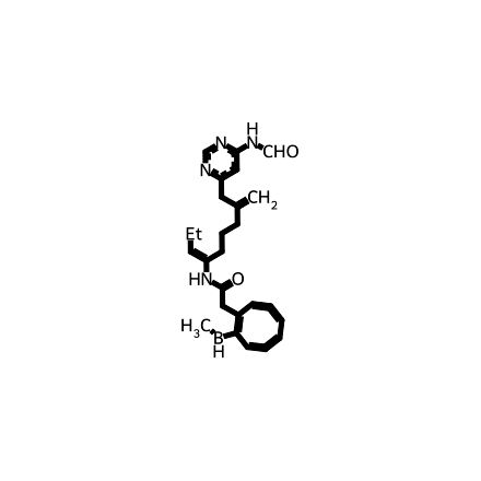 C=C(CCC/C(=C\CC)NC(=O)C/C1=C(\BC)C=C=CC=C=C1)Cc1cc(NC=O)ncn1